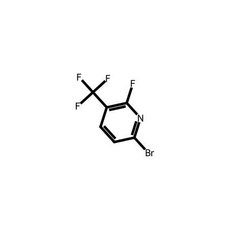 Fc1nc(Br)ccc1C(F)(F)F